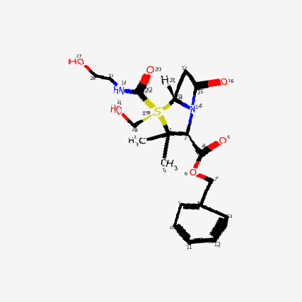 CC1(C)[C@H](C(=O)OCc2ccccc2)N2C(=O)C[C@H]2[S@@]1(CO)C(=O)NCCO